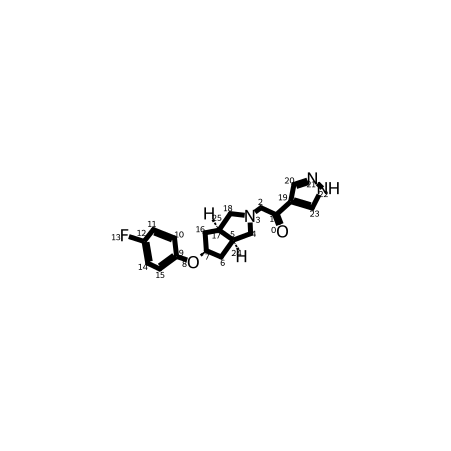 O=C(CN1C[C@H]2C[C@H](Oc3ccc(F)cc3)C[C@H]2C1)c1cn[nH]c1